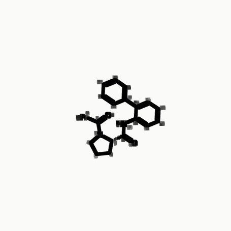 CCCC(=O)N1CCC[C@H]1C(=O)Nc1ccccc1-c1ccccc1